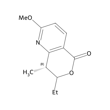 CCC1OC(=O)c2ccc(OC)nc2[C@H]1C